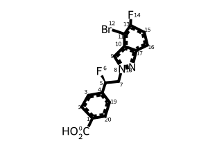 O=C(O)c1ccc([C@@H](F)Cn2cc3c(Br)c(F)ccc3n2)cc1